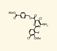 COC(=O)c1ccc(COC(=O)c2nc(-c3ccc(Cl)c(OC)c3F)nc(N)c2Cl)cc1